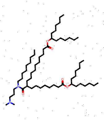 CCCCCCCCCN(CCCN(C)C)C(=O)C(CCCCCCCCCC(=O)OC(CCCCCC)CCCCCC)CCCCCCCC(=O)OC(CCCCCC)CCCCCC